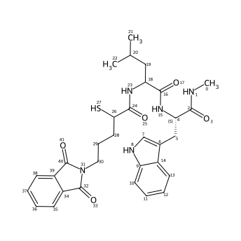 CNC(=O)[C@H](Cc1c[nH]c2ccccc12)NC(=O)C(CC(C)C)NC(=O)C(S)CCCN1C(=O)c2ccccc2C1=O